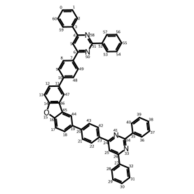 c1ccc(-c2cc(-c3ccc(-c4ccc5oc6ccc(-c7ccc(-c8cc(-c9ccccc9)nc(-c9ccccc9)n8)cc7)cc6c5c4)cc3)nc(-c3ccccc3)n2)cc1